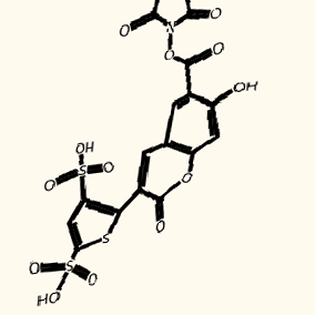 O=C(ON1C(=O)CCC1=O)c1cc2cc(-c3sc(S(=O)(=O)O)cc3S(=O)(=O)O)c(=O)oc2cc1O